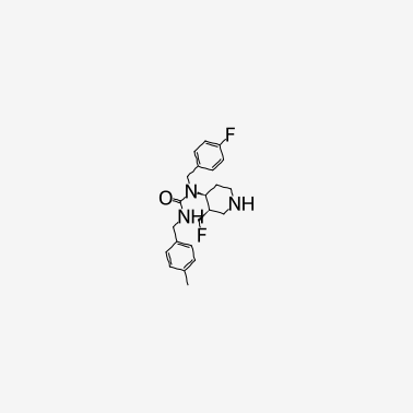 Cc1ccc(CNC(=O)N(Cc2ccc(F)cc2)[C@H]2CCNC[C@H]2CF)cc1